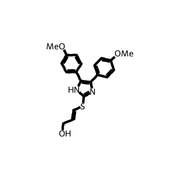 COc1ccc(-c2nc(SC=CCO)[nH]c2-c2ccc(OC)cc2)cc1